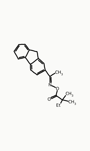 CCC(C)(C)C(=O)O/N=C(\C)c1ccc2c(c1)Cc1ccccc1-2